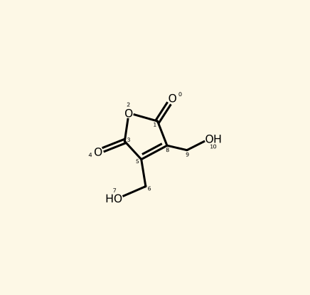 O=C1OC(=O)C(CO)=C1CO